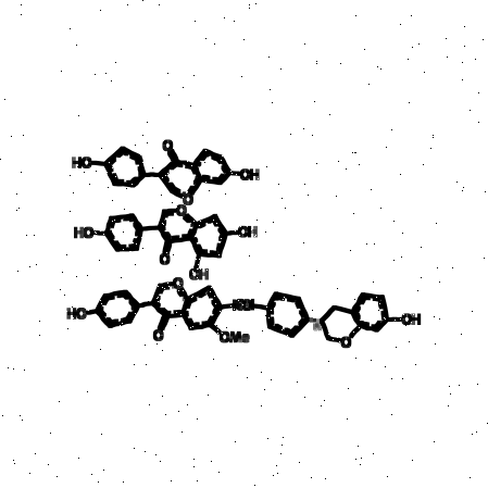 COc1cc2c(=O)c(-c3ccc(O)cc3)coc2cc1O.O=c1c(-c2ccc(O)cc2)coc2cc(O)cc(O)c12.O=c1c(-c2ccc(O)cc2)coc2cc(O)ccc12.Oc1ccc([C@H]2COc3cc(O)ccc3C2)cc1